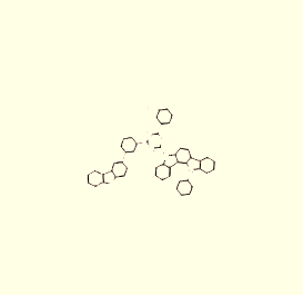 Cc1cccc(-c2nc(-c3cccc(-c4ccc5sc6ccccc6c5c4)c3)nc(-n3c4ccccc4c4c3ccc3c5ccccc5n(-c5ccccc5)c34)n2)c1